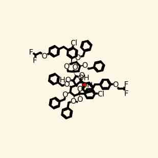 CO[C@@]1(c2ccc(Cl)c(Cc3ccc(OCC(F)F)cc3)c2)OC(CO)(C(O)C(O)[C@]23CO[C@@](c4ccc(Cl)c(Cc5ccc(OCC(F)F)cc5)c4)(O2)[C@H](OCc2ccccc2)[C@@H](OCc2ccccc2)[C@H]3OCc2ccccc2)[C@H](OCc2ccccc2)[C@H](OCc2ccccc2)[C@H]1OCc1ccccc1